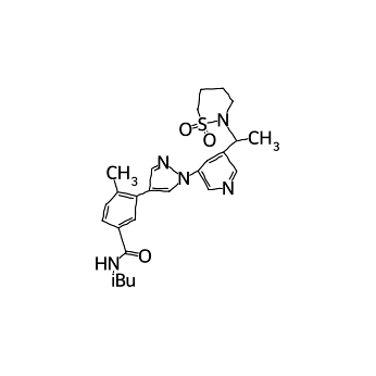 CCC(C)NC(=O)c1ccc(C)c(-c2cnn(-c3cncc(C(C)N4CCCCS4(=O)=O)c3)c2)c1